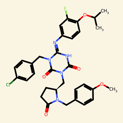 COc1ccc(CN2C(=O)CC[C@H]2Cn2c(=O)[nH]/c(=N\c3ccc(OC(C)C)c(F)c3)n(Cc3ccc(Cl)cc3)c2=O)cc1